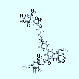 CCN(c1cc(-c2ccc(OCCCCOc3cc(C(C(=O)O)C(C)C)on3)cc2)cc(C(=O)NCc2c(C)cc(C)[nH]c2=O)c1C)C1CCOCC1